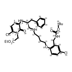 CCOC(=O)Cn1c(Cl)cnc(N[C@H](CNCCCCOc2ccc(Cl)cc2CNC(=O)OC(C)(C)C)Cc2ccccc2)c1=O